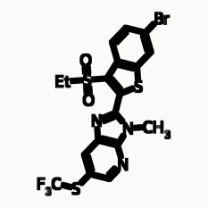 CCS(=O)(=O)c1c(-c2nc3cc(SC(F)(F)F)cnc3n2C)sc2cc(Br)ccc12